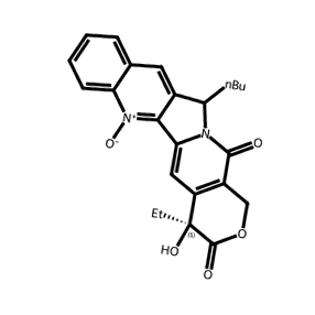 CCCCC1c2cc3ccccc3[n+]([O-])c2-c2cc3c(c(=O)n21)COC(=O)[C@]3(O)CC